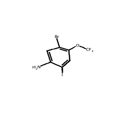 Nc1cc(Br)c(OC(F)(F)F)cc1I